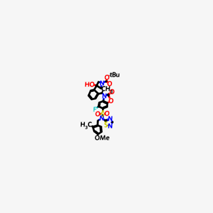 COc1ccc(CN(c2ncns2)S(=O)(=O)c2cc3oc(=O)n([C@H](C)c4ccccc4C4(O)CN(C(=O)OC(C)(C)C)C4)c3cc2F)c(C)c1